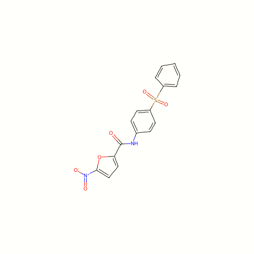 O=C(Nc1ccc(S(=O)(=O)c2ccccc2)cc1)c1ccc([N+](=O)[O-])o1